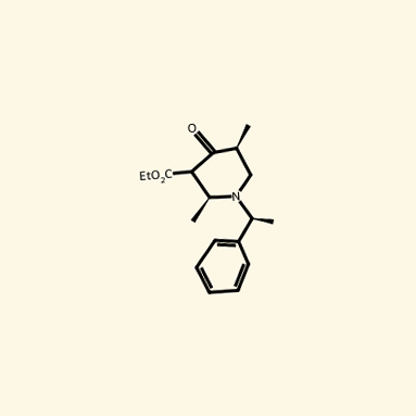 CCOC(=O)C1C(=O)[C@@H](C)CN([C@@H](C)c2ccccc2)[C@H]1C